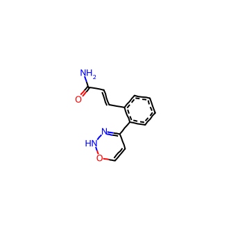 NC(=O)C=Cc1ccccc1C1=NNOC=C1